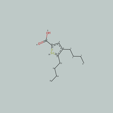 CCCCc1cc(C(=O)O)sc1CCCC